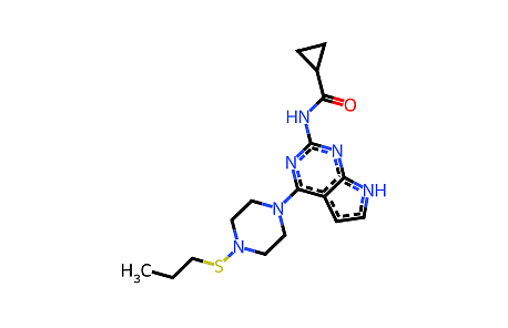 CCCSN1CCN(c2nc(NC(=O)C3CC3)nc3[nH]ccc23)CC1